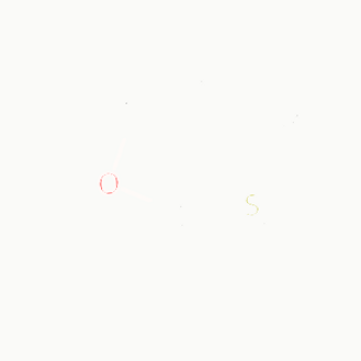 [CH]1OCC=CS1